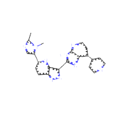 Cc1ncc(-c2ccc3[nH]nc(-c4nc5c(-c6ccncc6)ccnc5[nH]4)c3n2)n1C